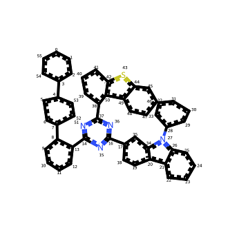 c1ccc(-c2ccc(-c3ccccc3-c3nc(-c4ccc5c6ccccc6n(-c6ccccc6)c5c4)nc(-c4cccc5sc6ccccc6c45)n3)cc2)cc1